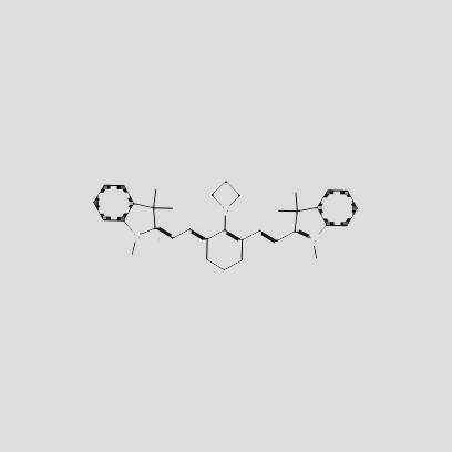 CN1/C(=C/C=C2\CCCC(/C=C/C3=[N+](C)c4ccccc4C3(C)C)=C2N2CCC2)C(C)(C)c2ccccc21